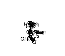 N[C@@H](Cc1ccc([N+](C=O)(CCCl)CCCl)cc1)C(=O)NCCCCCC(O)(P(=O)(O)O)P(=O)(O)O.[NaH].[NaH].[NaH]